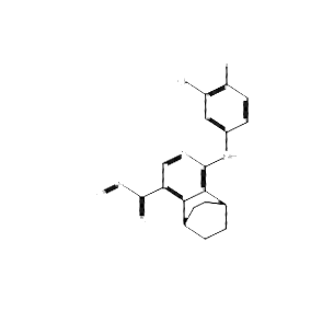 O=NC(=O)c1cnc(Nc2ccc(Cl)c(Cl)c2)c2c1C1CCC2CC1